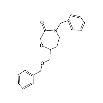 O=C1COC(COCc2ccccc2)CCN1Cc1ccccc1